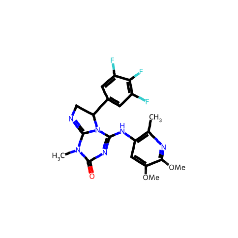 COc1cc(NC2=NC(=O)N(C)C3=NCC(c4cc(F)c(F)c(F)c4)N23)c(C)nc1OC